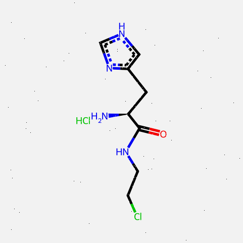 Cl.N[C@@H](Cc1c[nH]cn1)C(=O)NCCCl